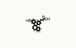 O=C(O)C=Cc1ccc(C2=C(c3cccc(O)c3)CCCc3ccccc32)cc1